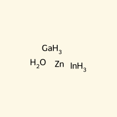 O.[GaH3].[InH3].[Zn]